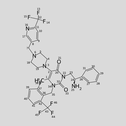 Cc1c(N2CCN(Cc3ccc(C(F)(F)F)nc3)CC2)c(=O)n(C[C@H](N)c2ccccc2)c(=O)n1Cc1c(F)cccc1C(F)(F)F